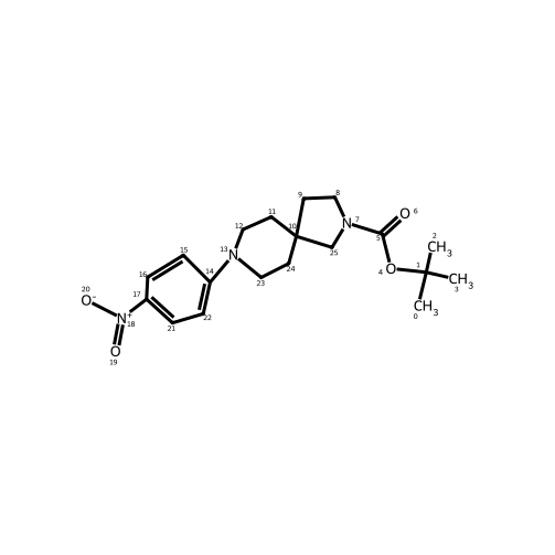 CC(C)(C)OC(=O)N1CCC2(CCN(c3ccc([N+](=O)[O-])cc3)CC2)C1